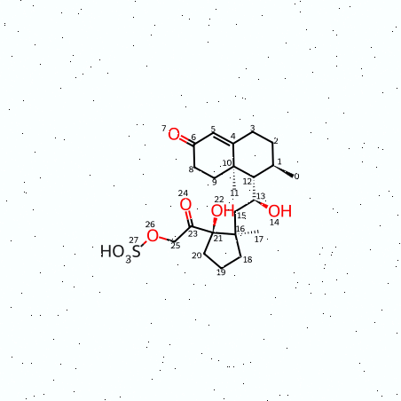 C[C@@H]1CCC2=CC(=O)CC[C@]2(C)[C@H]1[C@@H](O)C[C@@]1(C)CCC[C@]1(O)C(=O)COS(=O)(=O)O